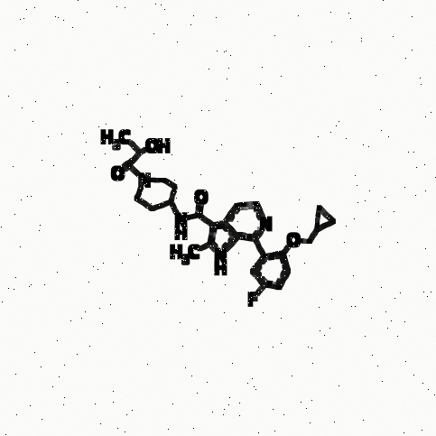 Cc1[nH]c2c(-c3cc(F)ccc3OCC3CC3)nccc2c1C(=O)NC1CCN(C(=O)C(C)O)CC1